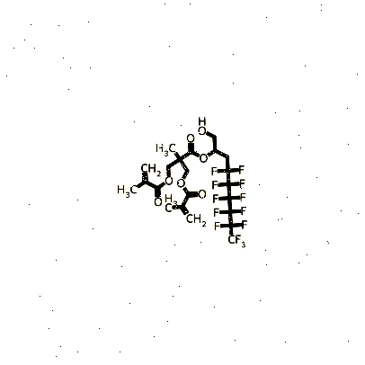 C=C(C)C(=O)OCC(C)(COC(=O)C(=C)C)C(=O)OC(CO)CC(F)(F)C(F)(F)C(F)(F)C(F)(F)C(F)(F)C(F)(F)F